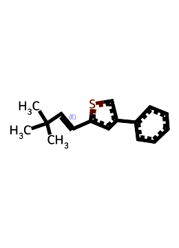 CC(C)(C)/C=C/c1cc(-c2ccccc2)cs1